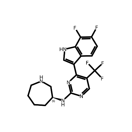 Fc1ccc2c(-c3nc(N[C@H]4CCCCNC4)ncc3C(F)(F)F)c[nH]c2c1F